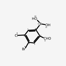 O=Cc1cc(Br)c(Cl)cc1B(O)O